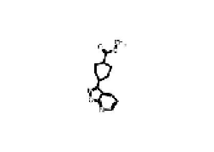 COC(=O)C1CCC(c2noc3ncccc23)CC1